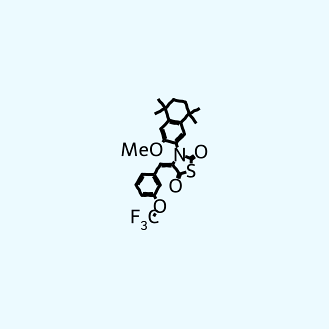 COc1cc2c(cc1N1C(=O)SC(=O)C1=Cc1cccc(OC(F)(F)F)c1)C(C)(C)CCC2(C)C